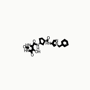 O=C(N[C@@H]1CC[C@@H](C(=O)Nc2cnn(Cc3ccccc3)c2)C1)c1[nH]c(=O)[nH]c(=O)c1O